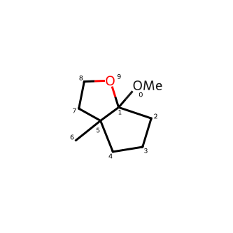 COC12CCCC1(C)CCO2